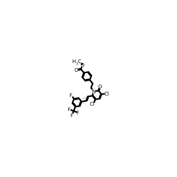 COC(=O)c1ccc(CCn2c(/C=C/c3cc(F)cc(C(F)(F)F)c3)c(Cl)cc(Cl)c2=O)cc1